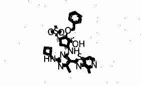 Cc1nc(NC2CCC2)nc(N[C@@H]2C[C@H](CS(C)(=O)=O)[C@@H](OCc3ccccc3)[C@@]2(C)O)c1-c1nc2c(C)nccc2s1